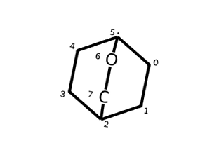 C1CC2CC[C]1OC2